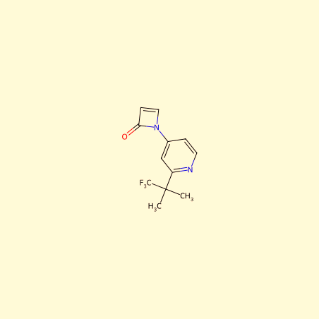 CC(C)(c1cc(N2C=CC2=O)ccn1)C(F)(F)F